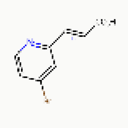 O=C(O)/C=C/c1cc(Br)ccn1